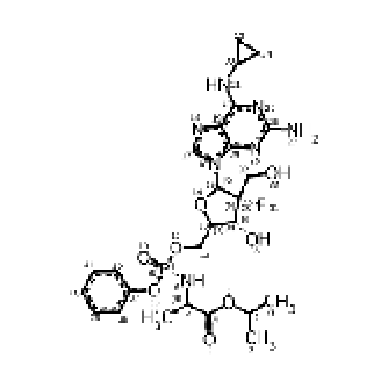 CC(C)OC(=O)[C@@H](C)N[P@](=O)(OC[C@H]1O[C@@H](n2cnc3c(NC4CC4)nc(N)nc32)[C@@](F)(CO)[C@@H]1O)Oc1ccccc1